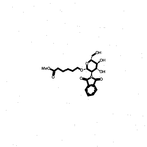 COC(=O)CCCCCO[C@@H]1O[C@H](CO)[C@@H](O)[C@H](O)[C@H]1N1C(=O)c2ccccc2C1=O